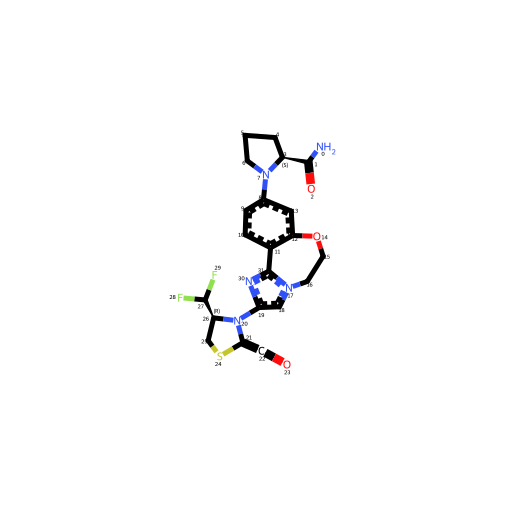 NC(=O)[C@@H]1CCCN1c1ccc2c(c1)OCCn1cc(N3C(=C=O)SC[C@H]3C(F)F)nc1-2